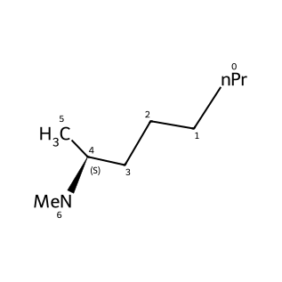 CCCCCC[C@H](C)NC